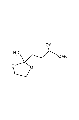 COC(CCC1(C)OCCO1)OC(C)=O